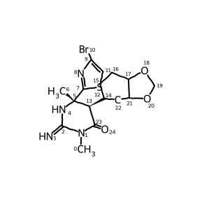 CN1C(=N)N[C@](C)(c2nc(Br)cs2)[C@@H](C2CCC3OCOC3C2)C1=O